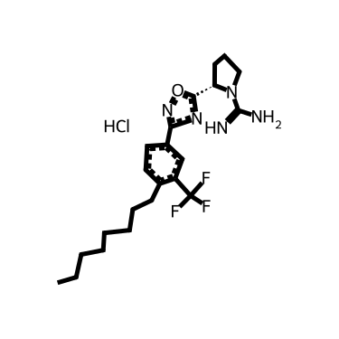 CCCCCCCCc1ccc(-c2noc([C@@H]3CCCN3C(=N)N)n2)cc1C(F)(F)F.Cl